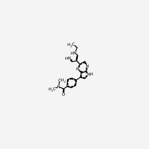 CCN/C=C(\C=N)c1cnc2[nH]cc(-c3ccc(C(=O)N(C)C)cc3)c2n1